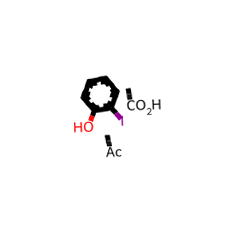 CC(=O)O.CC(C)=O.Oc1ccccc1I